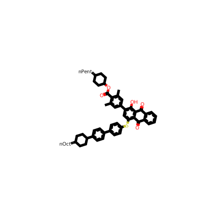 CCCCCCCCC1CCC(c2ccc(-c3ccc(Sc4cc(-c5cc(C)c(C(=O)OC6CCC(CCCCC)CC6)c(C)c5)c(O)c5c4C(=O)c4ccccc4C5=O)cc3)cc2)CC1